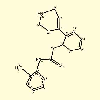 Cc1ccccc1NC(=O)CC1CC=CN=C1C1=CCNCC1